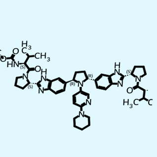 COC(=O)N[C@H](C(=O)N1CCC[C@H]1c1nc2ccc([C@H]3CC[C@H](c4ccc5nc([C@@H]6CCCN6C(=O)[CH]C(C)C)[nH]c5c4)N3c3ccc(N4CCCCC4)nc3)cc2[nH]1)C(C)C